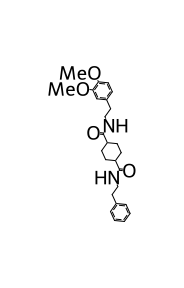 COc1ccc(CCNC(=O)C2CCC(C(=O)NCCc3ccccc3)CC2)cc1OC